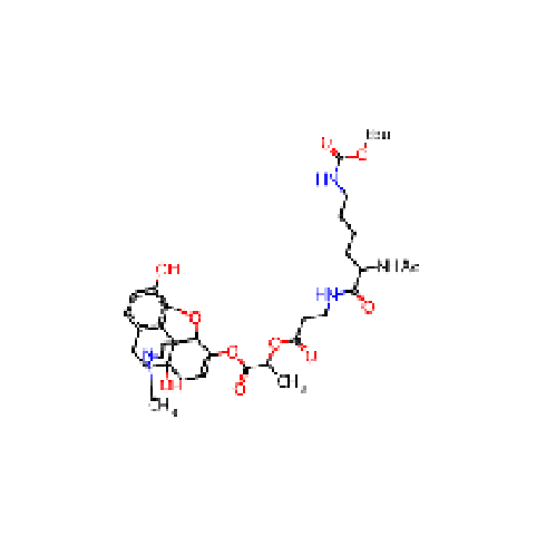 CC(=O)NC(CCCCNC(=O)OC(C)(C)C)C(=O)NCCC(=O)OC(C)C(=O)OC1=CCC2(O)C3Cc4ccc(O)c5c4C2(CCN3C)C1O5